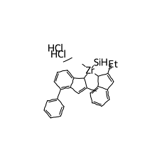 CC.CCC1=Cc2ccccc2[CH]1[Zr]([CH3])([SiH3])[CH]1C(C)=Cc2c(-c3ccccc3)cccc21.Cl.Cl